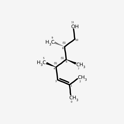 CC(C)=C[C@@H](C)[C@H](C)[C@H](C)CO